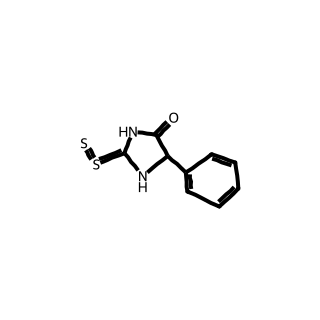 O=C1NC(=S=S)NC1c1ccccc1